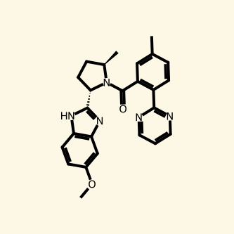 COc1ccc2[nH]c([C@@H]3CC[C@@H](C)N3C(=O)c3cc(C)ccc3-c3ncccn3)nc2c1